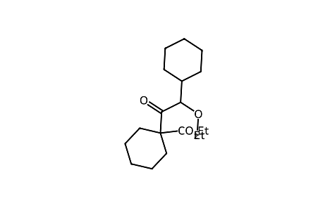 CCOC(=O)C1(C(=O)C(OCC)C2CCCCC2)CCCCC1